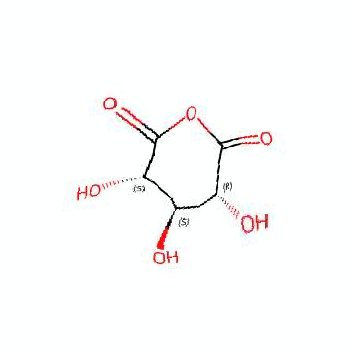 O=C1OC(=O)[C@H](O)[C@@H](O)[C@@H]1O